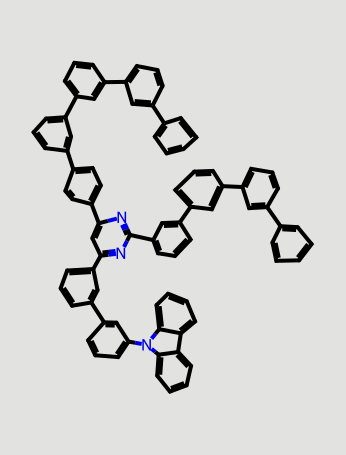 c1ccc(-c2cccc(-c3cccc(-c4cccc(-c5ccc(-c6cc(-c7cccc(-c8cccc(-n9c%10ccccc%10c%10ccccc%109)c8)c7)nc(-c7cccc(-c8cccc(-c9cccc(-c%10ccccc%10)c9)c8)c7)n6)cc5)c4)c3)c2)cc1